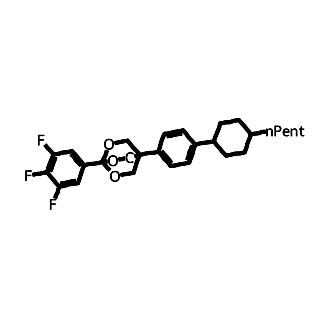 CCCCCC1CCC(c2ccc(C34COC(c5cc(F)c(F)c(F)c5)(OC3)OC4)cc2)CC1